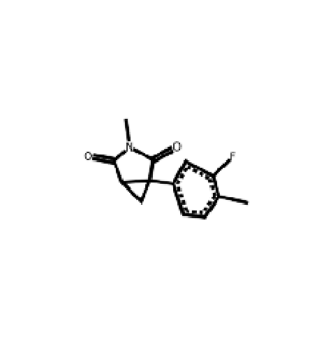 Cc1ccc(C23CC2C(=O)N(C)C3=O)cc1F